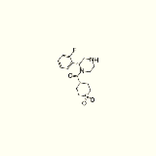 O=C(C1CCS(=O)(=O)CC1)N1CCNCC1c1ccccc1F